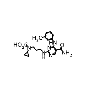 Cc1cccc(Nc2nc(NCCCN(C(=O)O)C3CC3)ncc2C(N)=O)c1